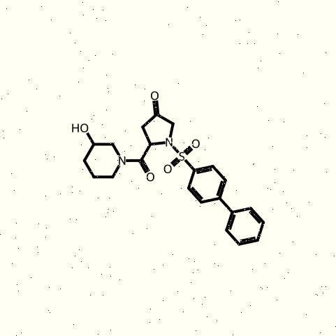 O=C1CC(C(=O)N2CCCC(O)C2)N(S(=O)(=O)c2ccc(-c3ccccc3)cc2)C1